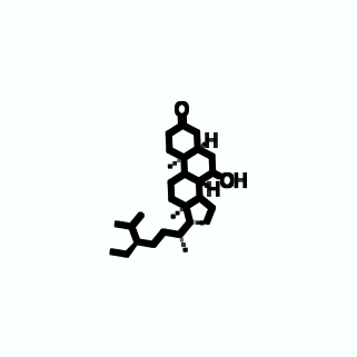 CC[C@H](CC[C@@H](C)[C@H]1CCC2[C@@H]3C(O)C[C@@H]4CC(=O)CC[C@]4(C)C3CC[C@@]21C)C(C)C